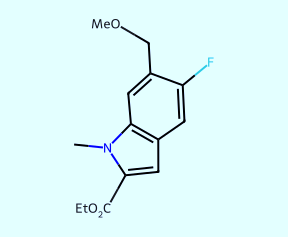 CCOC(=O)c1cc2cc(F)c(COC)cc2n1C